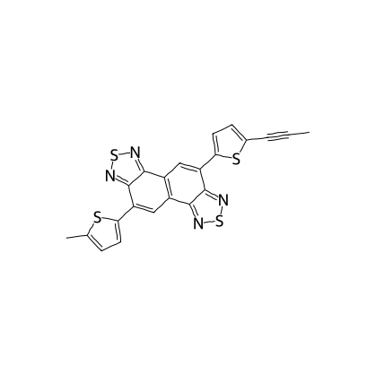 CC#Cc1ccc(-c2cc3c(cc(-c4ccc(C)s4)c4nsnc43)c3nsnc23)s1